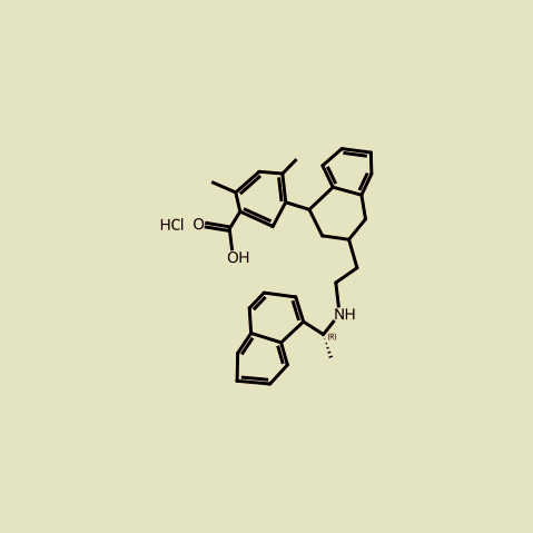 Cc1cc(C)c(C2CC(CCN[C@H](C)c3cccc4ccccc34)Cc3ccccc32)cc1C(=O)O.Cl